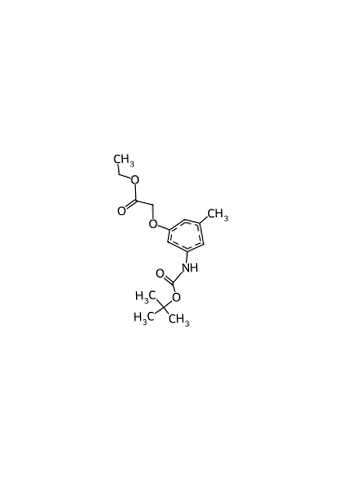 CCOC(=O)COc1cc(C)cc(NC(=O)OC(C)(C)C)c1